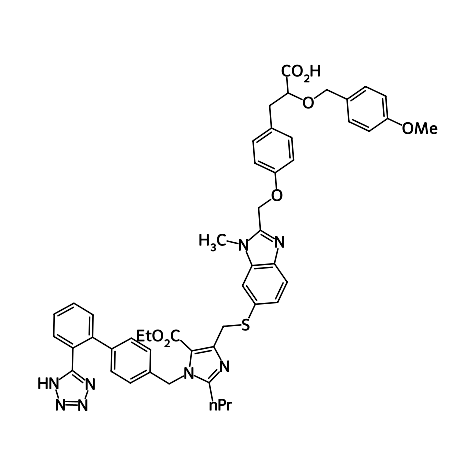 CCCc1nc(CSc2ccc3nc(COc4ccc(CC(OCc5ccc(OC)cc5)C(=O)O)cc4)n(C)c3c2)c(C(=O)OCC)n1Cc1ccc(-c2ccccc2-c2nnn[nH]2)cc1